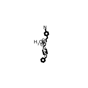 CS(=O)(=O)N(CCCc1ccc(C#N)cc1)CCN1CC2CN(Cc3ccccc3)CC(C1)O2